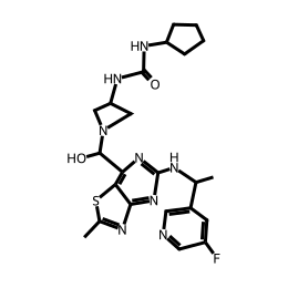 Cc1nc2nc(NC(C)c3cncc(F)c3)nc(C(O)N3CC(NC(=O)NC4CCCC4)C3)c2s1